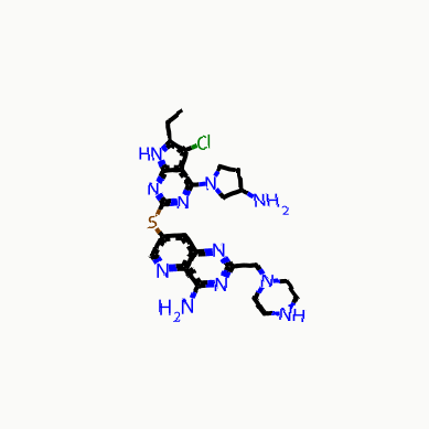 CCc1[nH]c2nc(Sc3cnc4c(N)nc(CN5CCNCC5)nc4c3)nc(N3CCC(N)C3)c2c1Cl